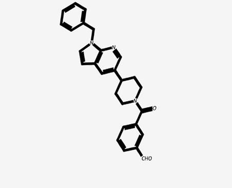 O=Cc1cccc(C(=O)N2CCC(c3cnc4c(ccn4Cc4ccccc4)c3)CC2)c1